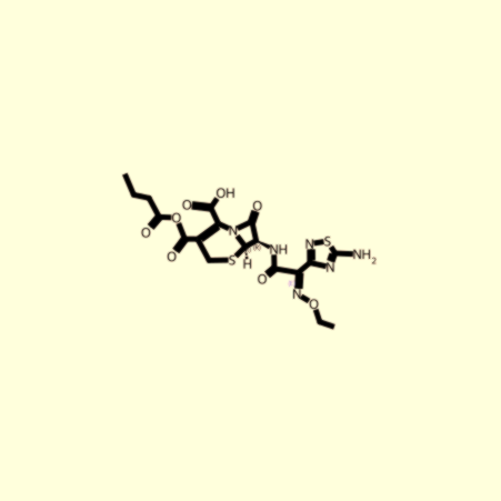 CCCC(=O)OC(=O)C1=C(C(=O)O)N2C(=O)[C@@H](NC(=O)/C(=N/OCC)c3nsc(N)n3)[C@H]2SC1